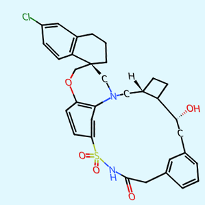 O=C1Cc2cccc(c2)C[C@@H](O)C2CC[C@H]2CN2C[C@@]3(CCCc4cc(Cl)ccc43)COc3ccc(cc32)S(=O)(=O)N1